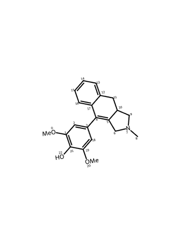 COc1cc(C2=C3CN(C)CC3Cc3ccccc32)cc(OC)c1O